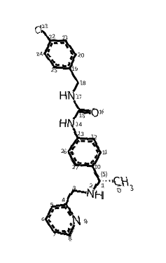 C[C@H](NCc1ccccn1)c1ccc(NC(=O)NCc2ccc(Cl)cc2)cc1